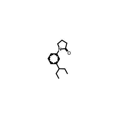 CCC(CC)c1cccc(N2CCCC2=O)c1